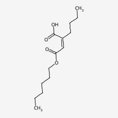 CCCCCCOC(=O)C=C(CCCC)C(=O)O